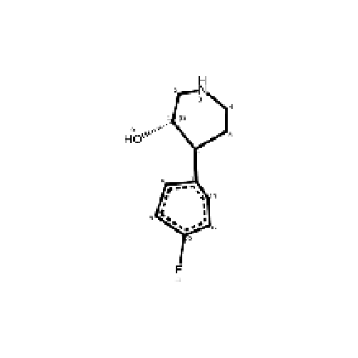 O[C@@H]1CNCCC1c1ccc(F)cc1